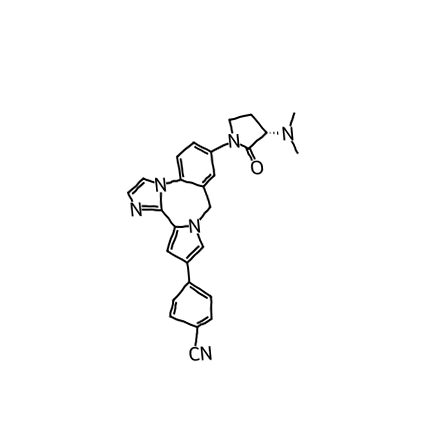 CN(C)[C@H]1CCN(c2ccc3c(c2)Cn2cc(-c4ccc(C#N)cc4)cc2-c2nccn2-3)C1=O